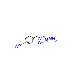 N#Cc1ccc(CN2CN(N)C=N2)cc1